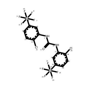 O=C(Nc1cc(S(F)(F)(F)(F)F)ccc1Cl)Nc1cc(S(F)(F)(F)(F)F)ccc1Cl